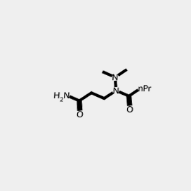 CCCC(=O)N(CCC(N)=O)N(C)C